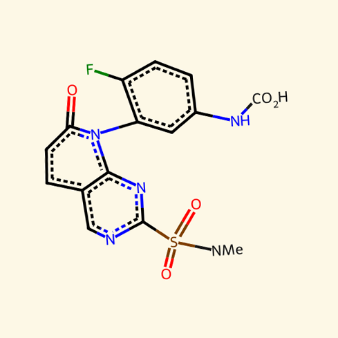 CNS(=O)(=O)c1ncc2ccc(=O)n(-c3cc(NC(=O)O)ccc3F)c2n1